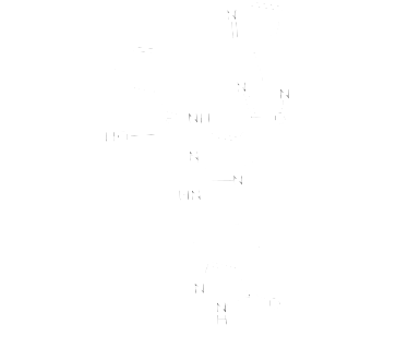 Cn1[nH]c(=O)c2ccc(Nc3ncc(-c4nc(-c5cccnc5)no4)c(N[C@H](CO)c4ccccc4)n3)cc21